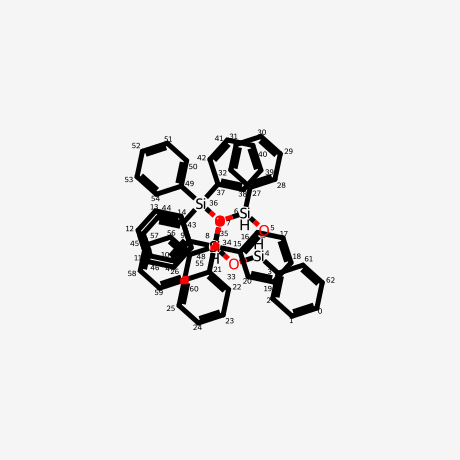 c1ccc([SiH](O[SiH](O[Si](c2ccccc2)(c2ccccc2)c2ccccc2)c2ccccc2)O[SiH](O[Si](c2ccccc2)(c2ccccc2)c2ccccc2)c2ccccc2)cc1